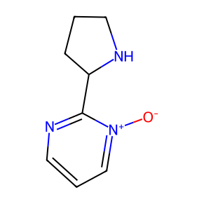 [O-][n+]1cccnc1C1CCCN1